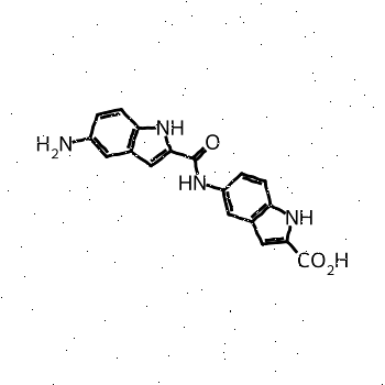 Nc1ccc2[nH]c(C(=O)Nc3ccc4[nH]c(C(=O)O)cc4c3)cc2c1